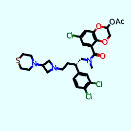 CC(=O)OC1COc2c(cc(Cl)cc2C(=O)N(C)C[C@@H](CCN2CC(N3CCSCC3)C2)c2ccc(Cl)c(Cl)c2)O1